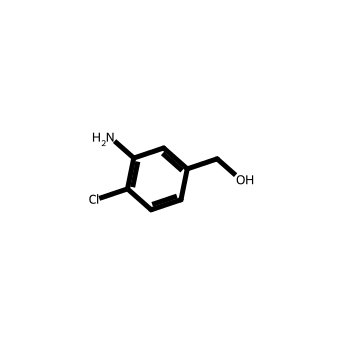 Nc1cc(CO)ccc1Cl